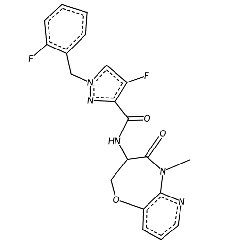 CN1C(=O)C(NC(=O)c2nn(Cc3ccccc3F)cc2F)COc2cccnc21